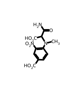 CN(c1ccc(C(=O)O)cc1[N+](=O)[O-])C(C(N)=O)C(=O)O